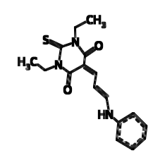 CCN1C(=O)C(=C/C=C/Nc2ccccc2)C(=O)N(CC)C1=S